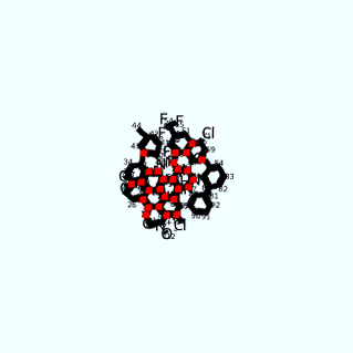 CCc1ccccc1N(N(Nc1c(CC)cccc1CC)c1c(C)cccc1CC)N(c1c(C)cccc1C)N(c1ccc(C)cc1)N(c1cccc(C(F)(F)F)c1)N(c1cccc(C)c1)N(c1ccc(Cl)cc1C(F)(F)F)N(c1c(C)cccc1Cl)N(c1ccccc1C)N(Nc1ccc([N+](=O)[O-])cc1)c1ccc([N+](=O)[O-])c(Cl)c1